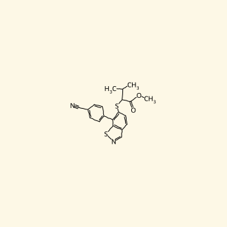 COC(=O)C(Sc1ccc2cnsc2c1-c1ccc(C#N)cc1)C(C)C